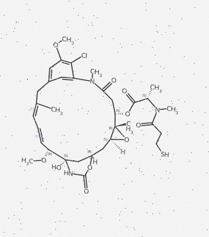 COc1cc2cc(c1Cl)N(C)C(=O)C[C@H](OC(=O)[C@H](C)N(C)C(=O)CCS)[C@]1(C)O[C@H]1C[C@@H]1C[C@@](O)(NC(=O)O1)[C@H](OC)/C=C/C=C(\C)C2